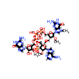 COC[C@H]1[C@@H](OC)[C@H](n2c[n+](C)c3c(=O)[nH]c(N)nc32)O[C@@H]1COP(=O)(O)OP(=O)(O)OP(=O)(O)OC[C@H]1O[C@@H](n2cnc3c(N)ncnc32)[C@H](OC)[C@@H]1P(=O)([O-])OCC1O[C@@H](n2cnc3c(=O)[nH]c(N)nc32)[C@H](O)[C@@H]1O